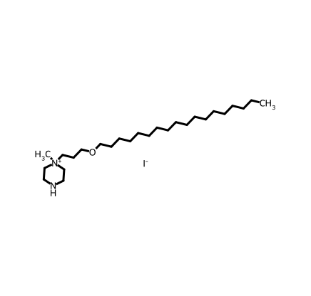 CCCCCCCCCCCCCCCCCCOCCC[N+]1(C)CCNCC1.[I-]